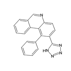 c1ccc(-c2c(-c3nnn[nH]3)ccc3ncc4ccccc4c23)cc1